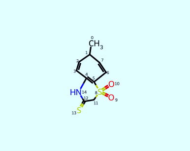 CC1C=CC2=C(C=C1)S(=O)(=O)CC(=S)N2